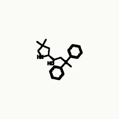 CC1(C)CN[C@H](C(O)C[Si](C)(c2ccccc2)c2ccccc2)C1